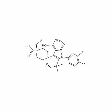 CC1(C)CO[C@]2(CC[C@@](CF)(C(=O)O)CC2)c2c1n(-c1ccc(F)c(F)c1)c1cccc(O)c12